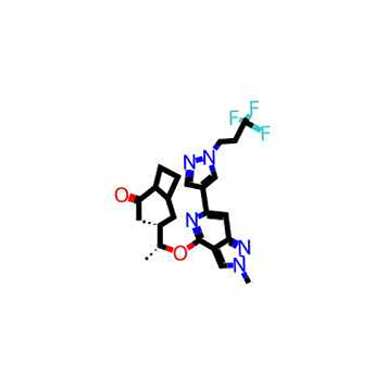 C[C@@H](Oc1nc(-c2cnn(CCC(F)(F)F)c2)cc2nn(C)cc12)[C@@H]1CC(=O)C2CCC2C1